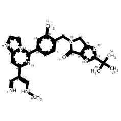 CN/C=C(\C=N)c1cc2nccn2c(-c2ccc(CN3Cc4nc(C(C)(C)C)sc4C3=O)c(C)c2)n1